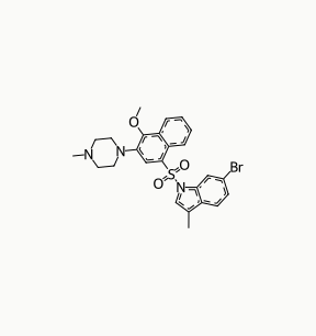 COc1c(N2CCN(C)CC2)cc(S(=O)(=O)n2cc(C)c3ccc(Br)cc32)c2ccccc12